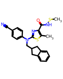 CSNC(=O)c1nc(N(CC2Cc3ccccc3C2)c2ccc(C#N)cc2)sc1C